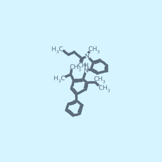 C=C(CCC)N(C)c1ccccc1Nc1c(C(C)C)cc(-c2ccccc2)cc1C(C)C